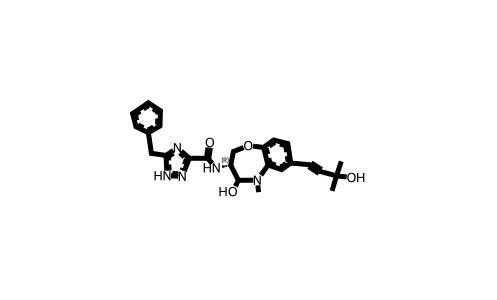 CN1c2cc(C#CC(C)(C)O)ccc2OC[C@@H](NC(=O)c2n[nH]c(Cc3ccccc3)n2)C1O